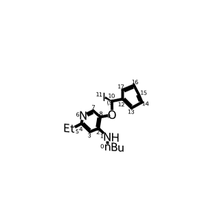 CCCCNc1cc(CC)ncc1O[C@@H](I)c1ccccc1